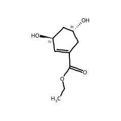 CCOC(=O)C1=C[C@@H](O)C[C@H](O)C1